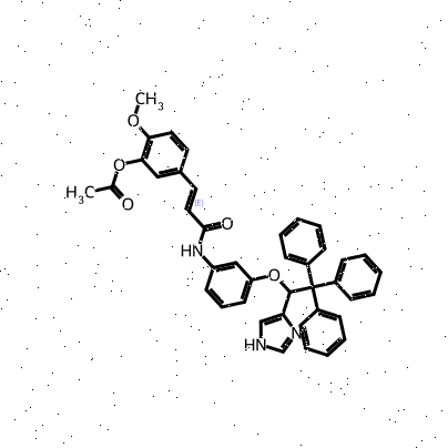 COc1ccc(/C=C/C(=O)Nc2cccc(OC(c3c[nH]cn3)C(c3ccccc3)(c3ccccc3)c3ccccc3)c2)cc1OC(C)=O